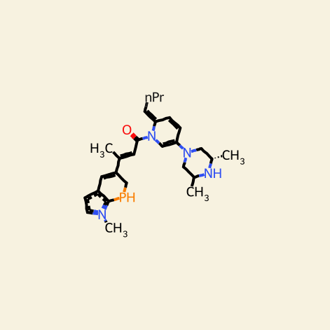 CCC/C=C1\C=CC(N2CC(C)N[C@@H](C)C2)=CN1C(=O)/C=C(\C)C1=Cc2ccn(C)c2PC1